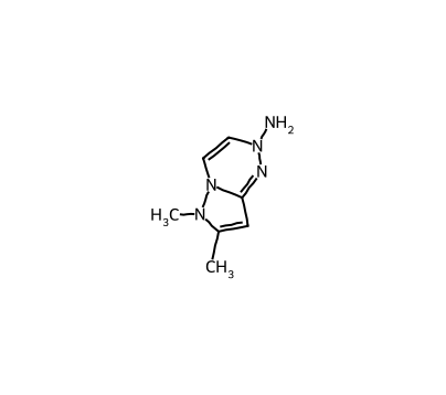 CC1=CC2=NN(N)C=CN2N1C